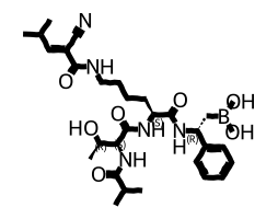 CC(C)C=C(C#N)C(=O)NCCCC[C@H](NC(=O)[C@@H](NC(=O)C(C)C)[C@@H](C)O)C(=O)N[C@H](CB(O)O)c1ccccc1